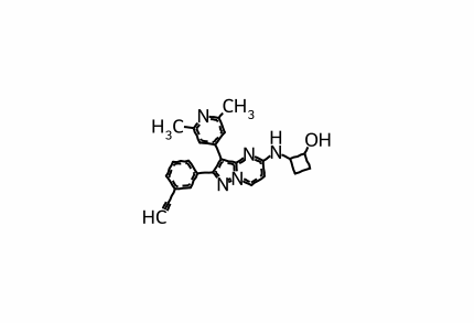 C#Cc1cccc(-c2nn3ccc(NC4CCC4O)nc3c2-c2cc(C)nc(C)c2)c1